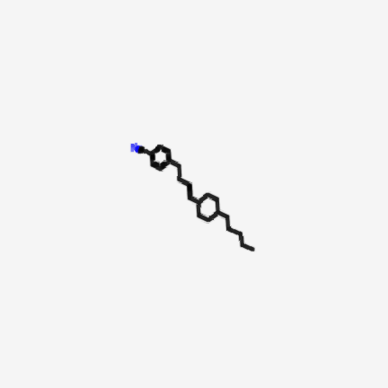 CCCCCC1CCC(C=CCCc2ccc(C#N)cc2)CC1